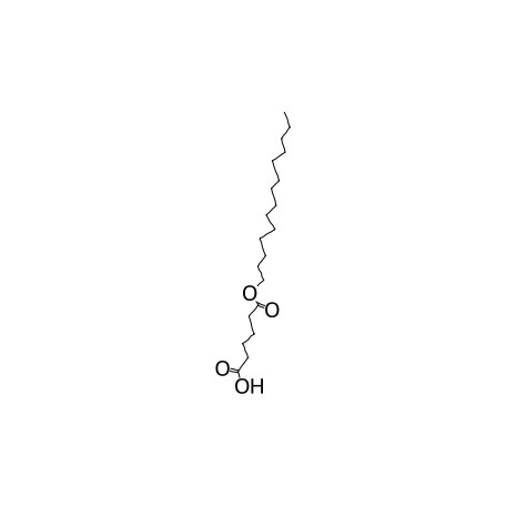 CCCCCCCCCCCCCCOC(=O)CCCCC(=O)O